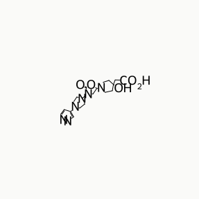 O=C(O)CC1(O)CCN(C2CN(N3CCN(c4ccnnc4)CC3)C(=O)O2)CC1